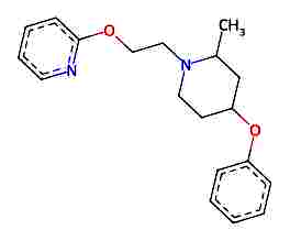 CC1CC(Oc2ccccc2)CCN1CCOc1ccccn1